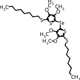 CCCCCCCCSc1sc([Te]c2sc(SCCCCCCCC)c(OC)c2OC)c(OC)c1OC